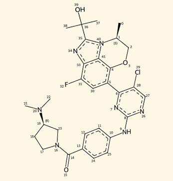 C[C@H]1COc2c(-c3nc(Nc4ccc(C(=O)N5CC[C@@H](N(C)C)C5)cc4)ncc3Cl)cc(F)c3nc(C(C)(C)O)n1c23